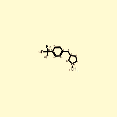 CN1CCC(Cc2ccc(C(F)(F)F)cc2)C1